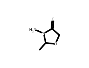 CC1OCC(=O)N1N